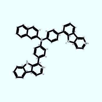 c1ccc2cc(N(c3ccc(-c4cccc5c4oc4ccncc45)cc3)c3ccc(-c4nccc5c4oc4ccccc45)cc3)ccc2c1